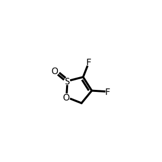 O=S1OCC(F)=C1F